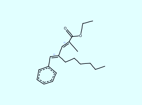 CCCCCCC(=C\c1ccccc1)/C=C(\C)C(=O)OCC